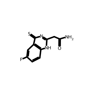 NC(=O)Cc1nc(=S)c2cc(F)ccc2[nH]1